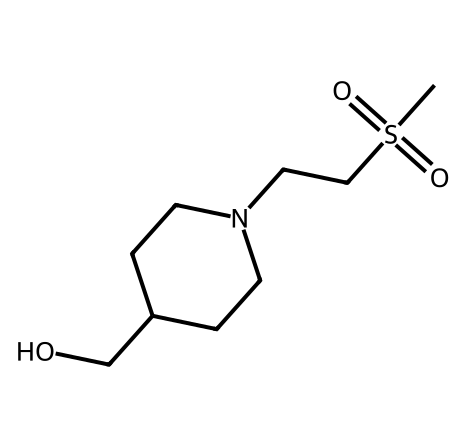 CS(=O)(=O)CCN1CCC(CO)CC1